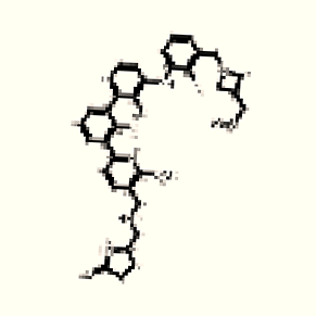 COCC1CN(Cc2cccc(Nc3ccnc(-c4cccc(-c5ccc(CNCC6CCC(=O)N6)c(OC)n5)c4Cl)c3Cl)c2F)C1